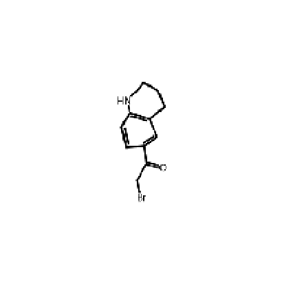 O=C(CBr)c1ccc2c(c1)CCCN2